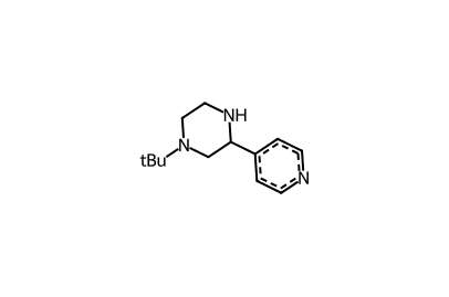 CC(C)(C)N1CCNC(c2ccncc2)C1